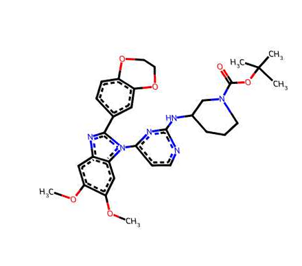 COc1cc2nc(-c3ccc4c(c3)OCCO4)n(-c3ccnc(NC4CCCN(C(=O)OC(C)(C)C)C4)n3)c2cc1OC